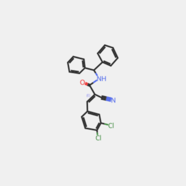 N#C/C(=C\c1ccc(Cl)c(Cl)c1)C(=O)NC(c1ccccc1)c1ccccc1